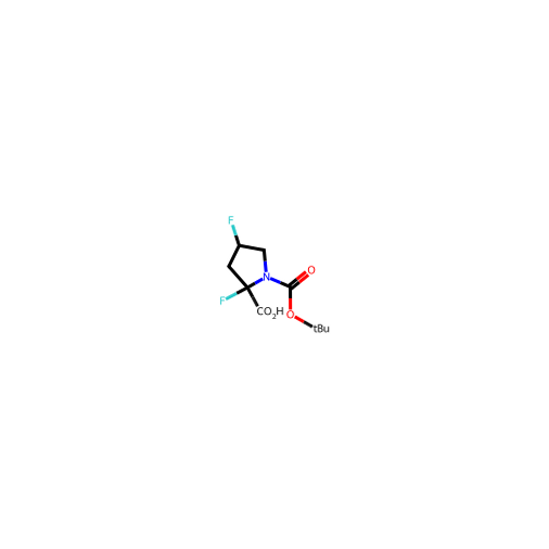 CC(C)(C)OC(=O)N1CC(F)CC1(F)C(=O)O